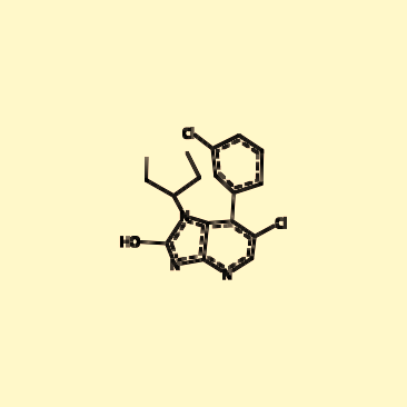 CCC(CC)n1c(O)nc2ncc(Cl)c(-c3cccc(Cl)c3)c21